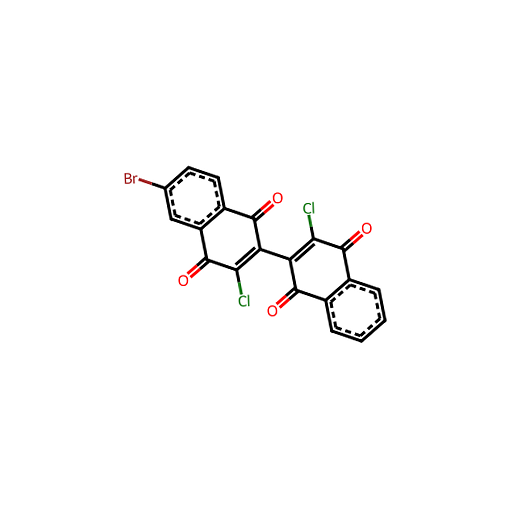 O=C1C(Cl)=C(C2=C(Cl)C(=O)c3cc(Br)ccc3C2=O)C(=O)c2ccccc21